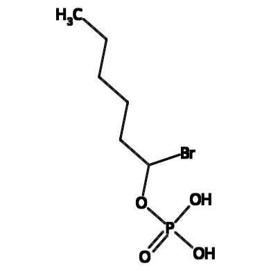 CCCCCC(Br)OP(=O)(O)O